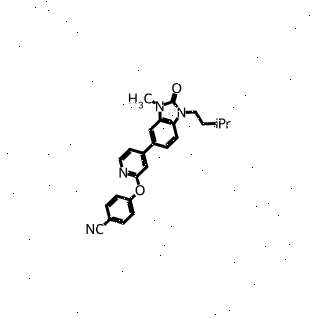 CC(C)CCn1c(=O)n(C)c2cc(-c3ccnc(Oc4ccc(C#N)cc4)c3)ccc21